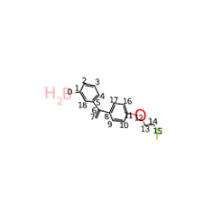 Bc1cccc(C(=C)c2ccc(OCCF)cc2)c1